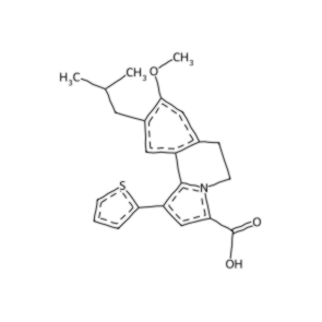 COc1cc2c(cc1CC(C)C)-c1c(-c3cccs3)cc(C(=O)O)n1CC2